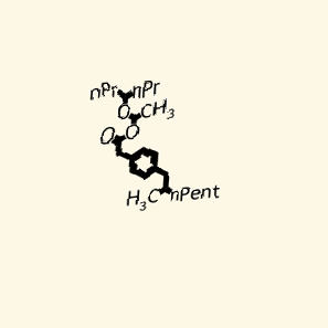 CCCCCC(C)Cc1ccc(CC(=O)OC(C)OC(CCC)CCC)cc1